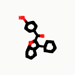 O=C(c1ccc(O)cc1)c1oc2ccccc2c1-c1ccccc1